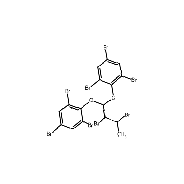 CC(Br)C(Br)C(Oc1c(Br)cc(Br)cc1Br)Oc1c(Br)cc(Br)cc1Br